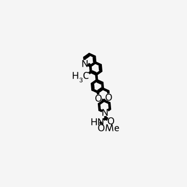 CONC(=O)N1CCC2(CC1)OCc1cc(-c3ccc4cccnc4c3C)ccc1O2